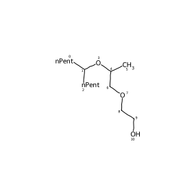 CCCCCC(CCCCC)OC(C)COCCO